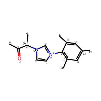 CC(=O)[C@@H](C)n1cc[n+](-c2c(C)cc(C)cc2C)c1